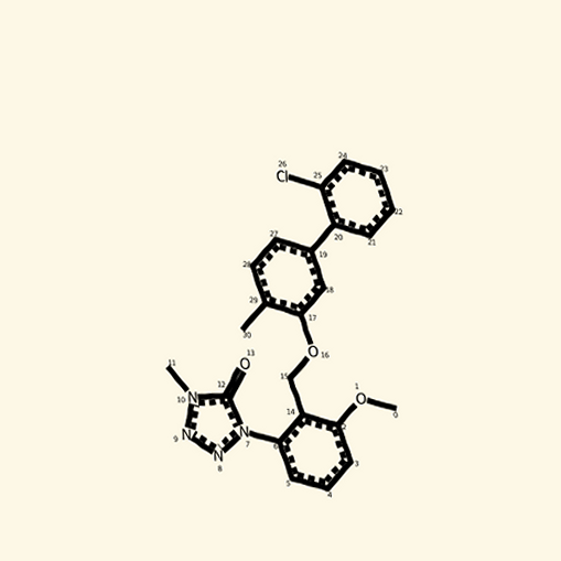 COc1cccc(-n2nnn(C)c2=O)c1COc1cc(-c2ccccc2Cl)ccc1C